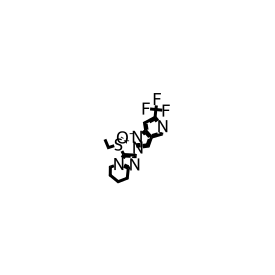 CC[S+]([O-])c1c(-n2cc3cnc(C(F)(F)F)cc3n2)nc2n1CCCC2